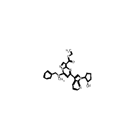 CCOC(=O)c1cnn2c(N(C)Cc3ccccc3)cc(-c3cn(C4CCC[C@H]4O)c4ncccc34)nc12